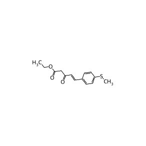 CCOC(=O)CC(=O)C=Cc1ccc(SC)cc1